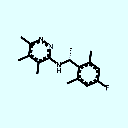 Cc1cc(F)cc(C)c1[C@@H](C)Nc1nnc(C)c(C)c1C